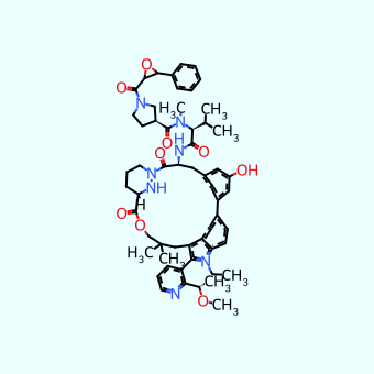 CCn1c(-c2cccnc2[C@H](C)OC)c2c3cc(ccc31)-c1cc(O)cc(c1)C[C@H](NC(=O)[C@H](C(C)C)N(C)C(=O)[C@H]1CCN(C(=O)C3OC3c3ccccc3)C1)C(=O)N1CCC[C@H](N1)C(=O)OCC(C)(C)C2